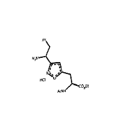 CCOC(=O)C(Cc1cc(C(N)CC(C)C)no1)NC(C)=O.Cl